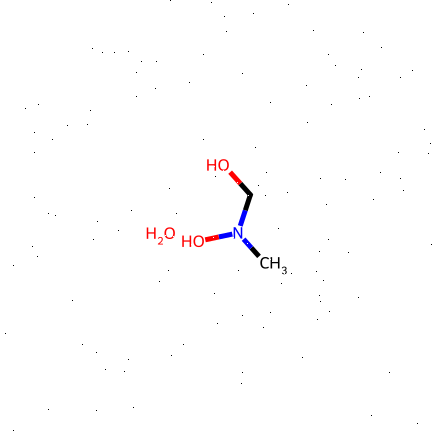 CN(O)CO.O